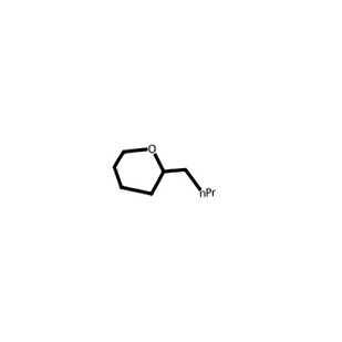 [CH2]CCCC1CCCCO1